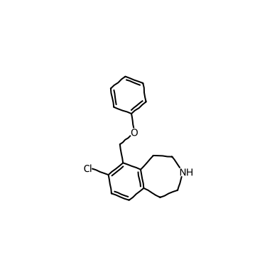 Clc1ccc2c(c1COc1ccccc1)CCNCC2